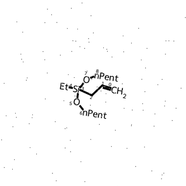 C=CC[Si](CC)(OCCCCC)OCCCCC